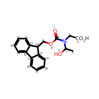 CC(O)N(CC(=O)O)C(=O)OCC1c2ccccc2-c2ccccc21